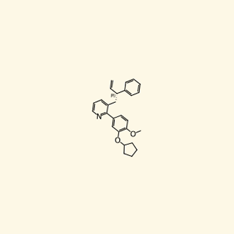 C=C[C@@H](Cc1cccnc1-c1ccc(OC)c(OC2CCCC2)c1)c1ccccc1